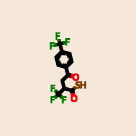 O=C(CC(C(=O)S)C(F)(F)F)c1ccc(C(F)(F)F)cc1